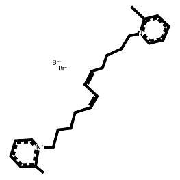 Cc1cccc[n+]1CCCC/C=C\C=C/CCCC[n+]1ccccc1C.[Br-].[Br-]